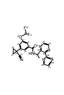 CC(NC(=O)c1cc(OC(F)F)cc(C2(C#N)CC2)c1)c1nccnc1-c1ncccn1